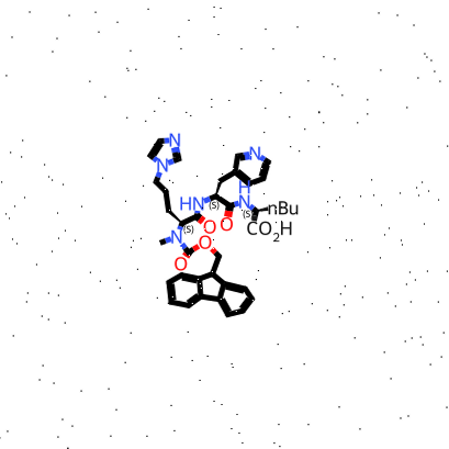 CCCC[C@H](NC(=O)[C@H](Cc1cccnc1)NC(=O)[C@H](CCCn1ccnc1)N(C)C(=O)OCC1c2ccccc2-c2ccccc21)C(=O)O